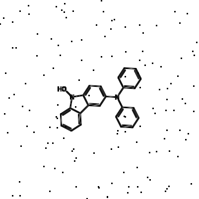 On1c2ccccc2c2cc(N(c3ccccc3)c3ccccc3)ccc21